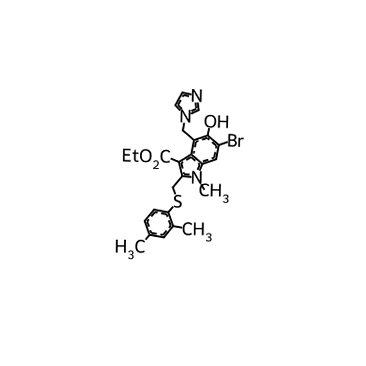 CCOC(=O)c1c(CSc2ccc(C)cc2C)n(C)c2cc(Br)c(O)c(Cn3ccnc3)c12